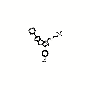 COc1ccc(-c2nn(COCC[Si](C)(C)C)c3c2Cc2sc(-c4cccnc4)cc2-3)cc1